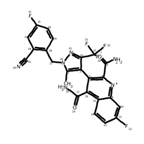 Cc1c(-c2c(C(N)=O)nc3cc(F)ccc3c2C(N)=O)c(C(F)(F)F)nn1Cc1ccc(F)cc1C#N